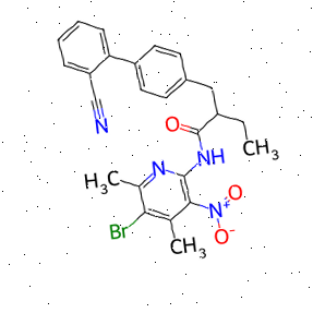 CCC(Cc1ccc(-c2ccccc2C#N)cc1)C(=O)Nc1nc(C)c(Br)c(C)c1[N+](=O)[O-]